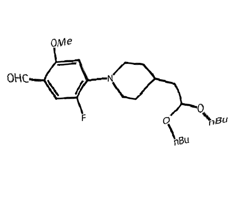 CCCCOC(CC1CCN(c2cc(OC)c(C=O)cc2F)CC1)OCCCC